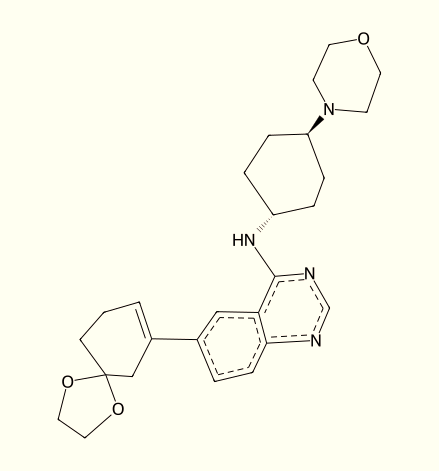 C1=C(c2ccc3ncnc(N[C@H]4CC[C@H](N5CCOCC5)CC4)c3c2)CC2(CC1)OCCO2